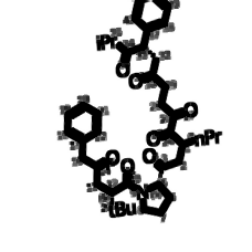 CCCC(CC(=O)[C@@H]1CCCN1C(=O)[C@@H](CC(=O)Cc1ccccc1)C(C)(C)C)C(=O)C(=O)CCC(=O)C[C@H](C(=O)C(C)C)c1ccccc1